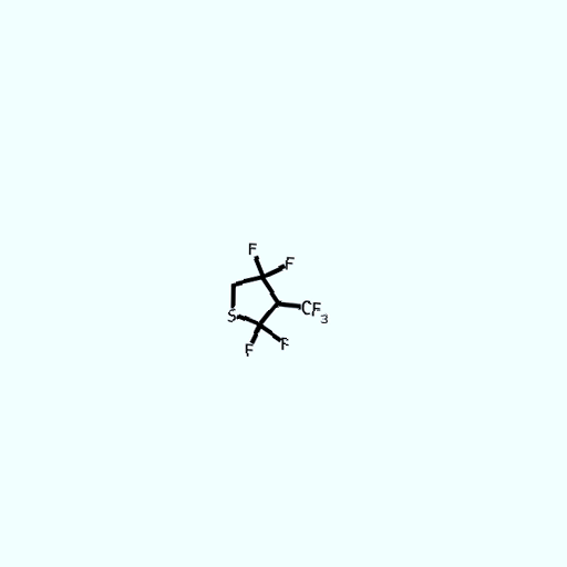 FC(F)(F)C1C(F)(F)CSC1(F)F